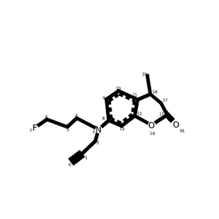 C#CCN(CCCF)c1ccc2c(c1)OC(=O)CC2C